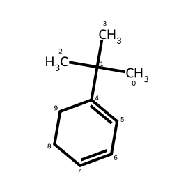 CC(C)(C)C1=CC=CCC1